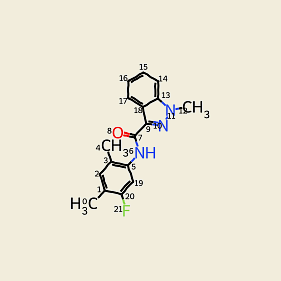 Cc1cc(C)c(NC(=O)c2nn(C)c3ccccc23)cc1F